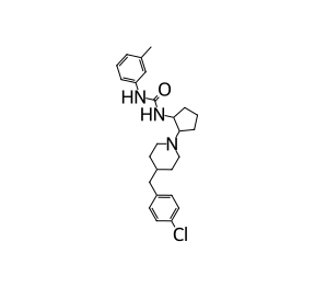 Cc1cccc(NC(=O)NC2CCCC2N2CCC(Cc3ccc(Cl)cc3)CC2)c1